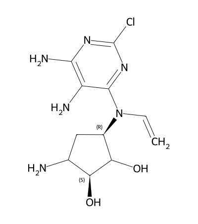 C=CN(c1nc(Cl)nc(N)c1N)[C@@H]1CC(N)[C@H](O)C1O